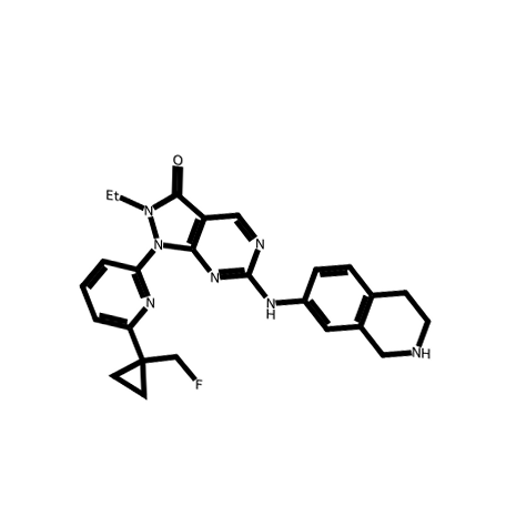 CCn1c(=O)c2cnc(Nc3ccc4c(c3)CNCC4)nc2n1-c1cccc(C2(CF)CC2)n1